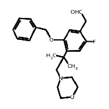 CC(C)(CN1CCOCC1)c1cc(F)c(CC=O)cc1OCc1ccccc1